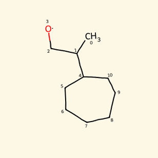 CC(C[O])C1CCCCCC1